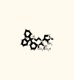 Cn1ncc(N(CCNC(c2ccccc2)(c2ccccc2)c2ccccc2)C(NC(=O)O)NC(=O)O)c1N